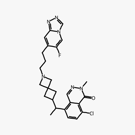 CC(c1ccc(Cl)c2c(=O)n(C)ncc12)C1CC2(C1)CN(CCCc1cc3nncn3cc1F)C2